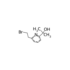 CC(C)(O)c1cccc(CCBr)n1